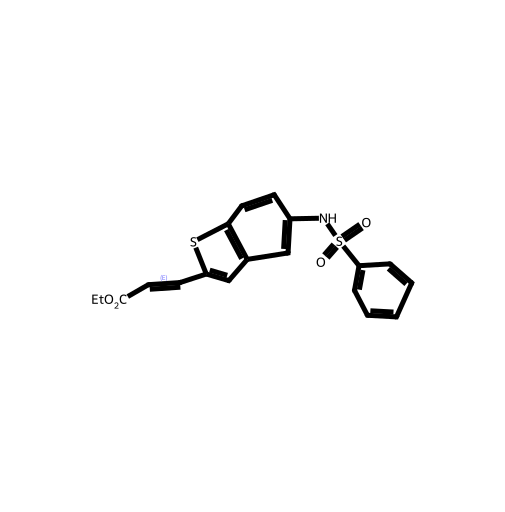 CCOC(=O)/C=C/c1cc2cc(NS(=O)(=O)c3ccccc3)ccc2s1